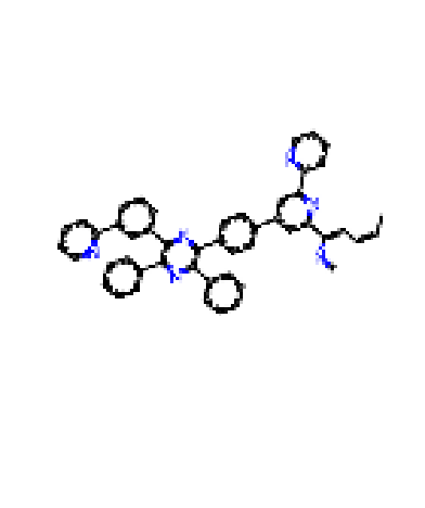 C=N/C(=C\C=C/C)c1cc(-c2ccc(-c3nc(-c4cccc(-c5ccccn5)c4)c(-c4ccccc4)nc3-c3ccccc3)cc2)cc(-c2ccccn2)n1